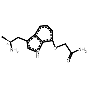 C[C@H](N)Cc1c[nH]c2c(OCC(N)=O)cccc12